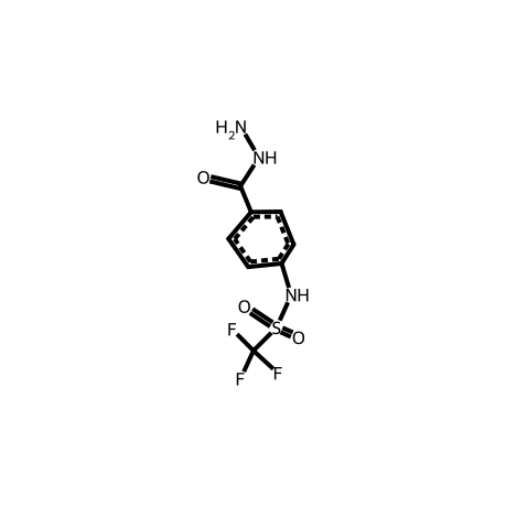 NNC(=O)c1ccc(NS(=O)(=O)C(F)(F)F)cc1